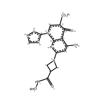 CONC(=O)C1CN(c2cc(C)c3c(=O)c(C(=O)O)cn(-c4ncns4)c3n2)C1